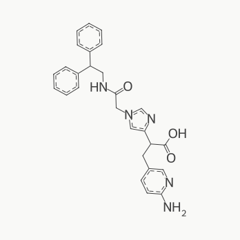 Nc1ccc(CC(C(=O)O)c2cn(CC(=O)NCC(c3ccccc3)c3ccccc3)cn2)cn1